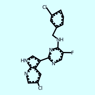 Fc1cnc(-c2c[nH]c3ncc(Cl)cc23)nc1NCc1cccc(Cl)c1